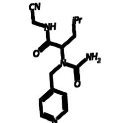 CC(C)CC(C(=O)NCC#N)N(Cc1ccncc1)C(N)=O